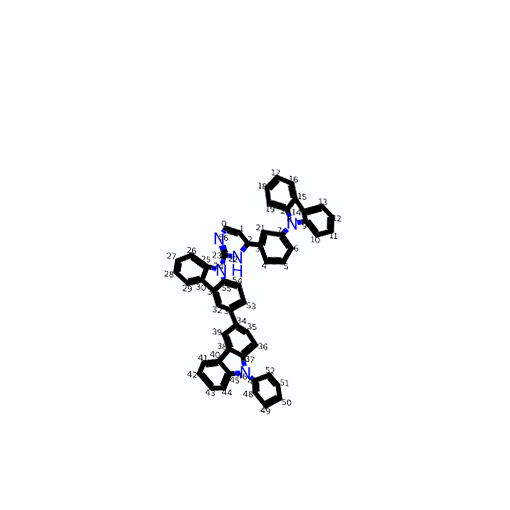 C1=CC(c2cccc(-n3c4ccccc4c4ccccc43)c2)NC(n2c3ccccc3c3cc(-c4ccc5c(c4)c4ccccc4n5-c4ccccc4)ccc32)=N1